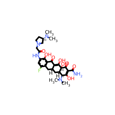 CN(C)[C@H]1CCN(CC(=O)Nc2cc(F)c3c(c2O)C(=O)C2=C(O)[C@]4(O)C(=O)C(C(N)=O)=C(O)[C@@H](N(C)C)[C@@H]4C[C@@H]2C3)C1